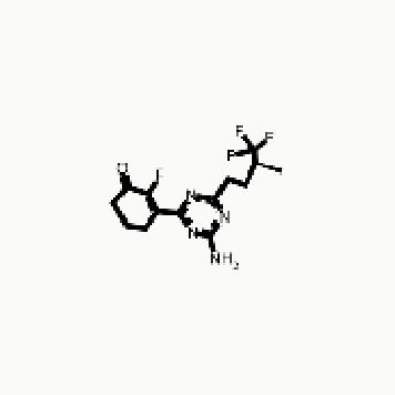 C[C@@H](CCc1nc(N)nc(C2=C(F)C(=O)CCC2)n1)C(F)(F)F